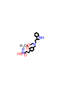 CC(=O)OCCN(CCc1c[nH]c2ccccc12)Cc1ccc(CCC(=O)NO)cc1